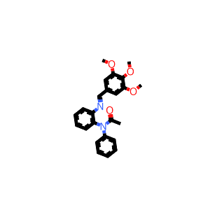 COc1cc(/C=N/c2ccccc2N(C(C)=O)c2ccccc2)cc(OC)c1OC